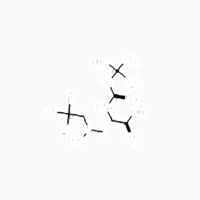 CN(C[C@H](NC(=O)OC(C)(C)C)C(=O)O)CC(F)(F)F